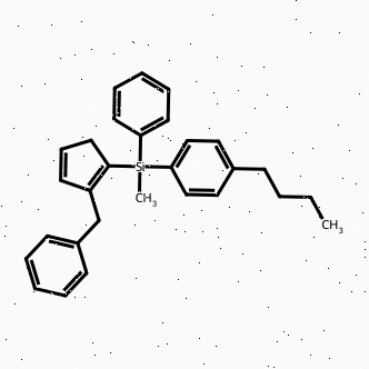 CCCCc1ccc([Si](C)(C2=C(Cc3ccccc3)C=CC2)c2ccccc2)cc1